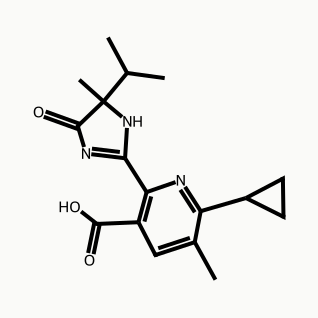 Cc1cc(C(=O)O)c(C2=NC(=O)C(C)(C(C)C)N2)nc1C1CC1